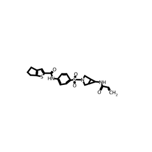 C=CC(=O)NC1C2CN(S(=O)(=O)c3ccc(NC(=O)c4cc5c(s4)CCC5)cc3)CC21